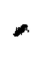 CC(C)C[C@H](C(=O)N[C@H]1CC[C@@H](Nc2ncnc(N)c2C(=N)c2ccc(Oc3ccccc3)cc2)CC1)N(C)C